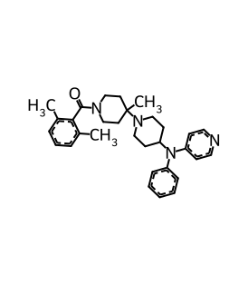 Cc1cccc(C)c1C(=O)N1CCC(C)(N2CCC(N(c3ccccc3)c3ccncc3)CC2)CC1